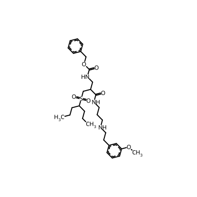 CCCC(CCC)S(=O)(=O)CC(CNC(=O)OCc1ccccc1)C(=O)NCCCNCCc1cccc(OC)c1